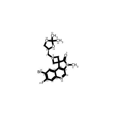 CN1C(=O)C2(CN(C[C@H]3COC(C)(C)O3)C2)c2c1cnc1cc(F)c(Br)cc21